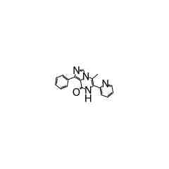 Cc1c(-c2ccccn2)[nH]c(=O)c2c(-c3ccccc3)ncn12